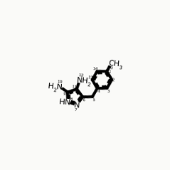 Cc1ccc(Cc2n[nH]c(N)c2N)cc1